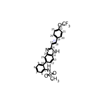 CS(=O)(=O)Nc1ccccc1-c1ccc2[nH]c(/C=C/c3ccc(OC(F)(F)F)cc3)nc2c1